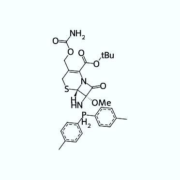 CO[C@@]1(N[PH2](c2ccc(C)cc2)c2ccc(C)cc2)C(=O)N2C(C(=O)OC(C)(C)C)=C(COC(N)=O)CS[C@H]21